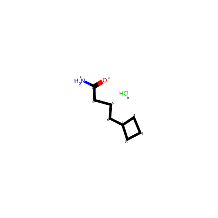 Cl.NC(=O)CCCC1CCC1